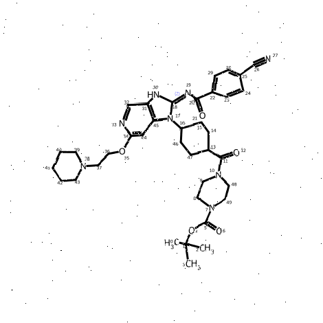 CC(C)(C)OC(=O)N1CCN(C(=O)C2CCC(n3/c(=N\C(=O)c4ccc(C#N)cc4)[nH]c4cnc(OCCN5CCCCC5)cc43)CC2)CC1